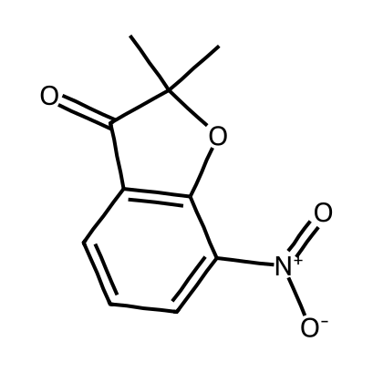 CC1(C)Oc2c(cccc2[N+](=O)[O-])C1=O